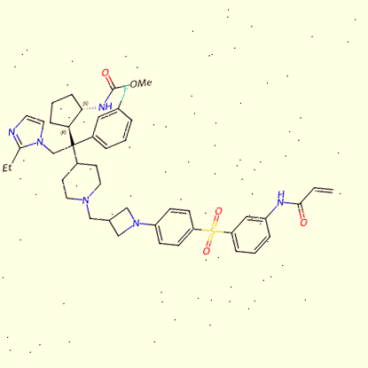 C=CC(=O)Nc1cccc(S(=O)(=O)c2ccc(N3CC(CN4CCC(C(Cn5ccnc5CC)(c5cccc(F)c5)[C@H]5CCC[C@@H]5NC(=O)OC)CC4)C3)cc2)c1